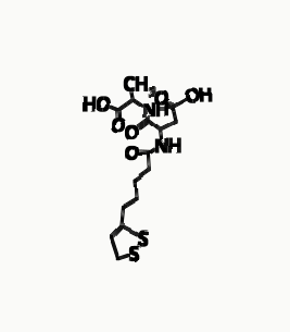 CC(NC(=O)C(CC(=O)O)NC(=O)CCCCC1CCSS1)C(=O)O